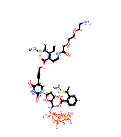 C=C/C(=C(\C=C/NC(=O)COCCOCCN)C(=O)OCC#Cc1cn([C@H]2C[C@@H](OC(=O)c3ccccc3C(C)SSC)C(COP(=O)(O)OP(=O)(O)OP(=O)(O)O)O2)c(=O)[nH]c1=O)C(C)SSC